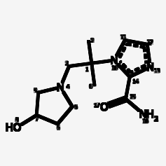 CC(C)(CN1CCC(O)C1)n1c[c]nc1C(N)=O